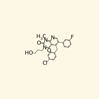 Cn1c(=O)n(CCCO)c(=O)c2c(Cc3ccc(Cl)cc3)c(-c3cccc(F)c3)cnc21